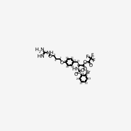 N=C(N)NOCCCOc1ccc(C[C@H](NS(=O)(=O)c2ccccc2Br)C(=O)OC(=O)C(F)(F)F)cc1